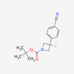 CC(C)(C)OC(=O)N1CC(F)(c2ccc(C#N)cc2)C1